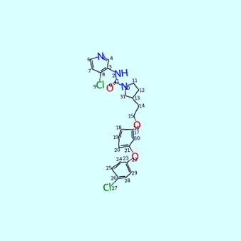 O=C(Nc1cnccc1Cl)N1CCC(CCOc2cccc(Oc3ccc(Cl)cc3)c2)C1